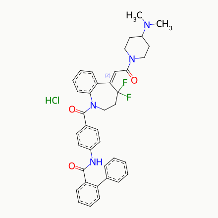 CN(C)C1CCN(C(=O)/C=C2/c3ccccc3N(C(=O)c3ccc(NC(=O)c4ccccc4-c4ccccc4)cc3)CCC2(F)F)CC1.Cl